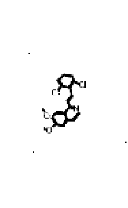 COc1cc2ccnc(/C=C/c3c(Cl)cccc3Cl)c2cc1OC